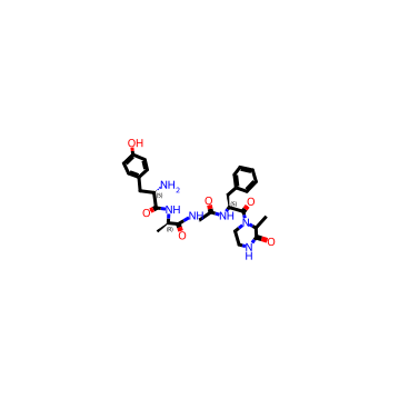 CC1C(=O)NCCN1C(=O)[C@H](Cc1ccccc1)NC(=O)CNC(=O)[C@@H](C)NC(=O)[C@@H](N)Cc1ccc(O)cc1